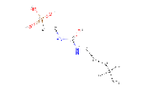 C[Si](C)([SiH3])CCCNC(=O)NCCS(=O)(=O)O